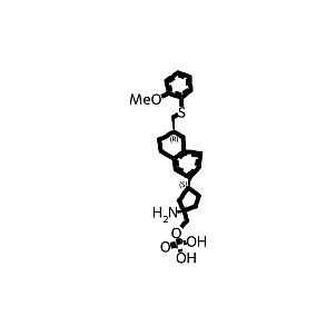 COc1ccccc1SC[C@@H]1CCc2cc([C@H]3CC[C@](N)(COP(=O)(O)O)C3)ccc2C1